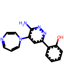 Nc1nnc(-c2ccccc2O)cc1N1C=CC=NC=C1